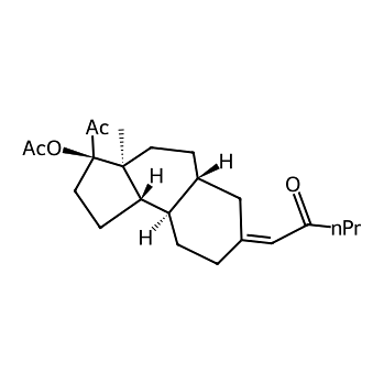 CCCC(=O)/C=C1/CC[C@@H]2[C@H](CC[C@@]3(C)[C@H]2CC[C@]3(OC(C)=O)C(C)=O)C1